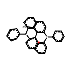 COc1cccc(P(c2ccccc2)c2ccccc2)c1-c1c(Br)cccc1P(c1ccccc1)c1ccccc1